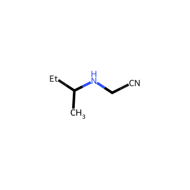 CCC(C)NCC#N